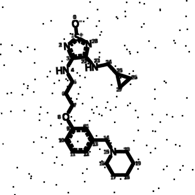 [O-][s+]1nc(NCCCOc2cccc(CN3CCCCC3)c2)c(NCC2CC2)n1